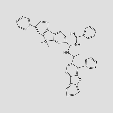 CC(NC(NC(=N)c1ccccc1)c1ccc2c(c1)S(C)(C)c1cc(-c3ccccc3)ccc1-2)c1ccc2c(oc3ccccc32)c1-c1ccccc1